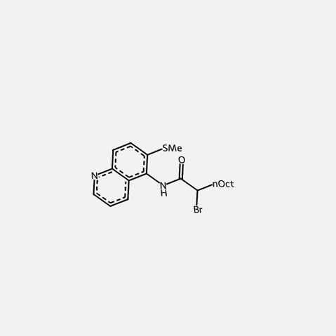 CCCCCCCCC(Br)C(=O)Nc1c(SC)ccc2ncccc12